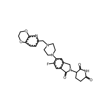 O=C1CCC(N2Cc3cc(N4CCN(Cc5ccc6c(n5)OCCO6)CC4)c(F)cc3C2=O)C(=O)N1